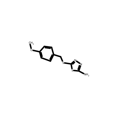 COc1ccc(CSc2nnc(N)s2)cc1